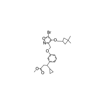 COC(=O)CC(c1cccc(OCc2noc(Br)c2OCC2CC(C)(C)C2)c1)C1CC1